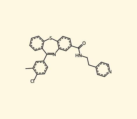 Cc1cc(C2=Nc3cc(C(=O)NCCc4ccncc4)ccc3Sc3ccccc32)ccc1Cl